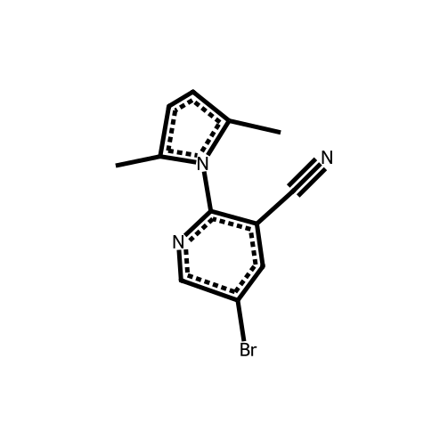 Cc1ccc(C)n1-c1ncc(Br)cc1C#N